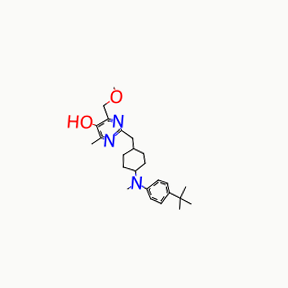 COCc1nc(CC2CCC(N(C)c3ccc(C(C)(C)C)cc3)CC2)nc(C)c1O